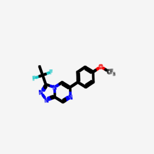 CC(F)(F)c1nnc2cnc(-c3ccc(OC(F)(F)F)cc3)cn12